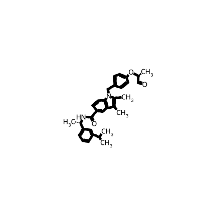 Cc1c(C)n(Cc2ccc(O[C@@H](C)C=O)cc2)c2ccc(C(=O)N[C@@H](C)c3cccc(C(C)C)c3)cc12